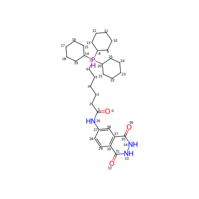 O=C(CCCCC[PH](C1CCCCC1)(C1CCCCC1)C1CCCCC1)Nc1ccc2c(=O)[nH][nH]c(=O)c2c1